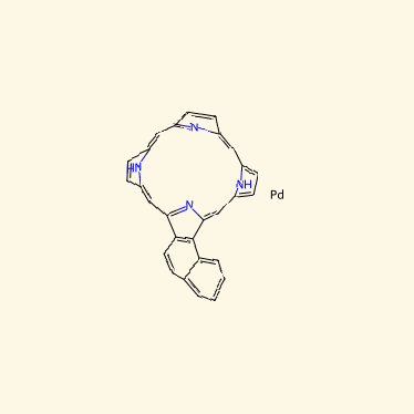 C1=Cc2cc3ccc(cc4nc(cc5ccc(cc1n2)[nH]5)-c1ccc2ccccc2c1-4)[nH]3.[Pd]